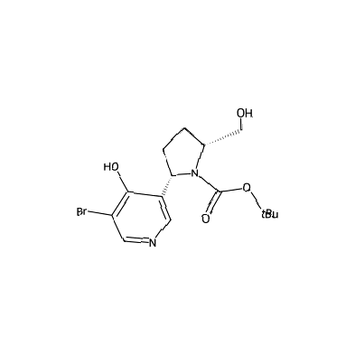 CC(C)(C)OC(=O)N1[C@@H](CO)CC[C@H]1c1cncc(Br)c1O